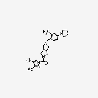 CC(=O)c1nn(C(=O)N2CC3CN(Cc4ccc(N5CCCC5)cc4C(F)(F)F)CC3C2)cc1Cl